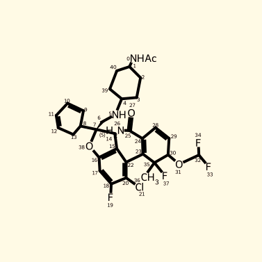 CC(=O)NC1CCC(NC[C@@]2(C3C=CC=CC3)Cc3c(cc(F)c(Cl)c3C3=C(C(N)=O)C=CC(OC(F)F)C3(C)F)O2)CC1